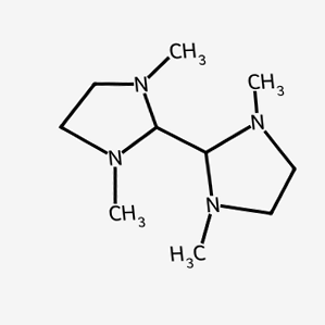 CN1CCN(C)C1C1N(C)CCN1C